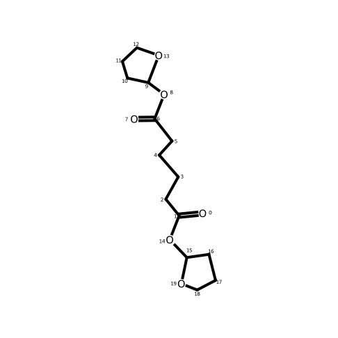 O=C(CCCCC(=O)OC1CCCO1)OC1CCCO1